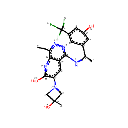 Cc1nnc(N[C@H](C)c2cc(O)cc(C(F)(F)F)c2)c2cc(N3CC(C)(O)C3)c(O)nc12